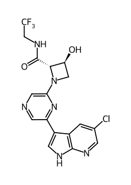 O=C(NCC(F)(F)F)[C@@H]1[C@@H](O)CN1c1cncc(-c2c[nH]c3ncc(Cl)cc23)n1